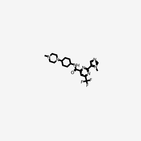 CN1CCN(C2CCC(NC(=O)c3cc(C(F)(F)F)nc(-c4cncn4C)n3)CC2)CC1